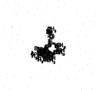 CCC(=O)O[C@@H]1CC(=O)O[C@@H](C/C=C/c2cccc(-c3csc(C)n3)c2)CCCN(C)C[C@H](O)[C@H](C)C[C@H](CC=O)[C@H](O[C@@H]2OC(C)[C@@H](O[C@H]3CC(C)(OC(C)=O)[C@@H](OC(=O)CC)C(C)O3)C(N(C)C)C2O)[C@H]1OC